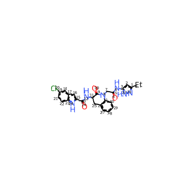 CCc1cc(NC(=O)CN2C(=O)C(NC(=O)c3cc4cc(Cl)ccc4[nH]3)Cc3ccccc32)[nH]n1